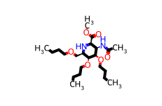 CCCCOC[C@H]1N[C@@H](C(=O)OC)[C@H](NC(C)=O)[C@@H](OCCCC)[C@@H]1OCCCC